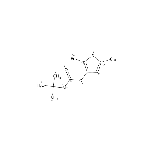 CC(C)(C)NC(=O)Oc1cc(Cl)sc1Br